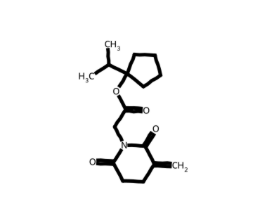 C=C1CCC(=O)N(CC(=O)OC2(C(C)C)CCCC2)C1=O